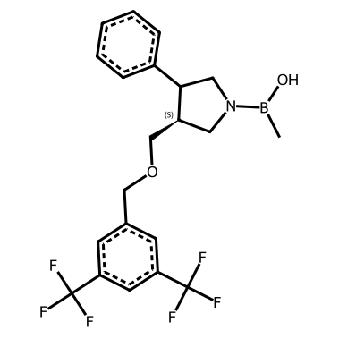 CB(O)N1CC(c2ccccc2)[C@H](COCc2cc(C(F)(F)F)cc(C(F)(F)F)c2)C1